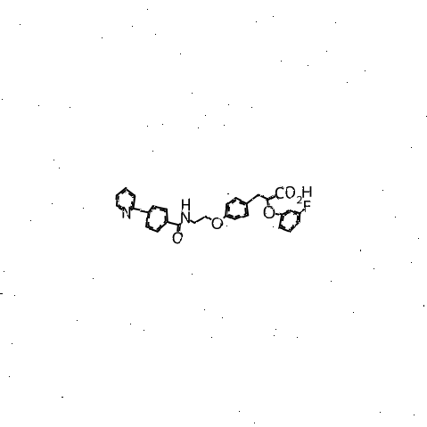 O=C(NCCOc1ccc(CC(Oc2cccc(F)c2)C(=O)O)cc1)c1ccc(-c2ccccn2)cc1